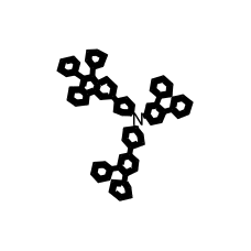 c1ccc(-c2ccc(-c3ccc(N(c4ccc(-c5ccc6c(-c7ccccc7)c(-c7ccccc7)c7ccccc7c6c5)cc4)c4ccc(-c5ccccc5)c(-c5ccccc5)c4)cc3)cc2-c2ccccc2)cc1